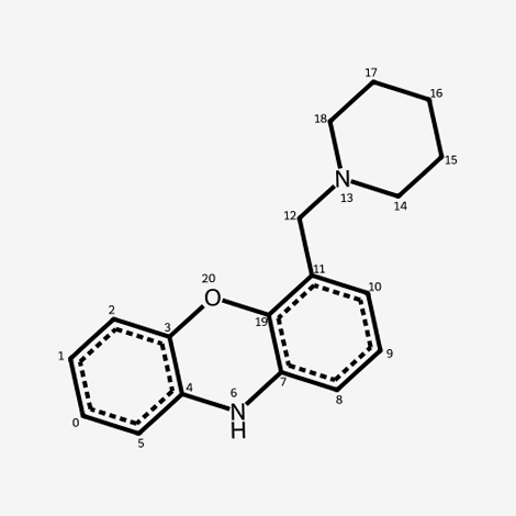 c1ccc2c(c1)Nc1cccc(CN3CCCCC3)c1O2